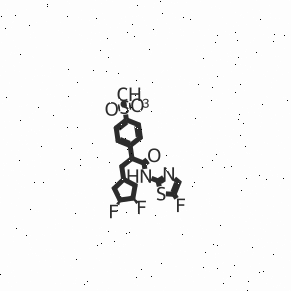 CS(=O)(=O)c1ccc(C(CC2C[C@@H](F)[C@@H](F)C2)C(=O)Nc2ncc(F)s2)cc1